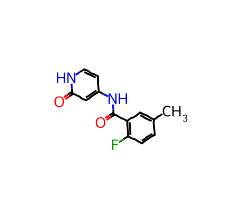 Cc1ccc(F)c(C(=O)Nc2cc[nH]c(=O)c2)c1